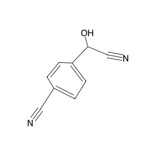 N#Cc1ccc(C(O)C#N)cc1